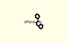 CCCCCc1cc2ccccc2nc1-c1ccccc1